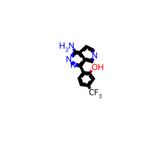 Nc1nnc(-c2ccc(C(F)(F)F)cc2O)c2cnccc12